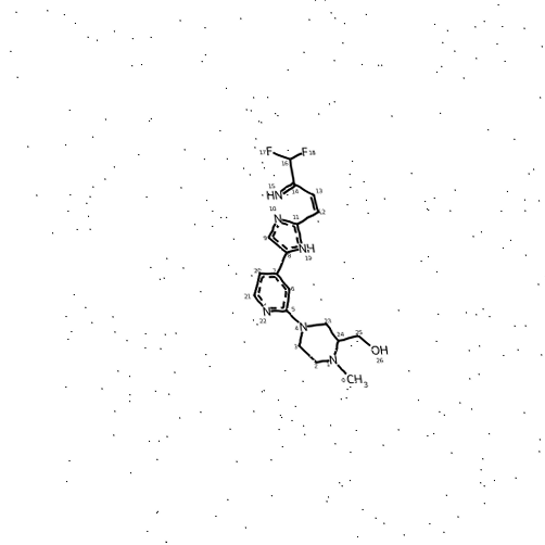 CN1CCN(c2cc(-c3cnc(/C=C\C(=N)C(F)F)[nH]3)ccn2)CC1CO